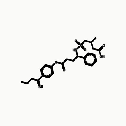 CCCC(=N)c1ccc(OC(=O)CCC(NS(=O)(=O)CC(C)CC(=O)O)c2ccccc2)cc1